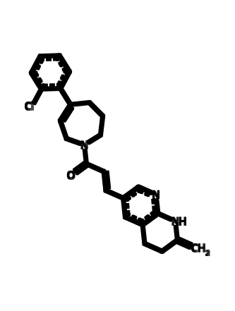 C=C1CCc2cc(/C=C/C(=O)N3CC=C(c4ccccc4Cl)CCC3)cnc2N1